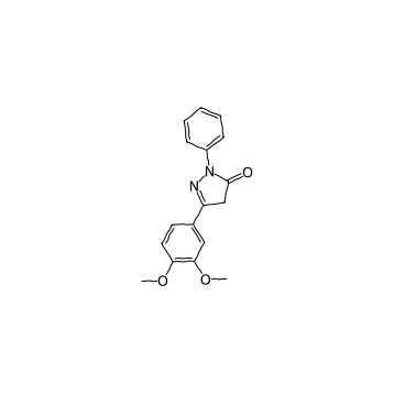 COc1ccc(C2=NN(c3ccccc3)C(=O)C2)cc1OC